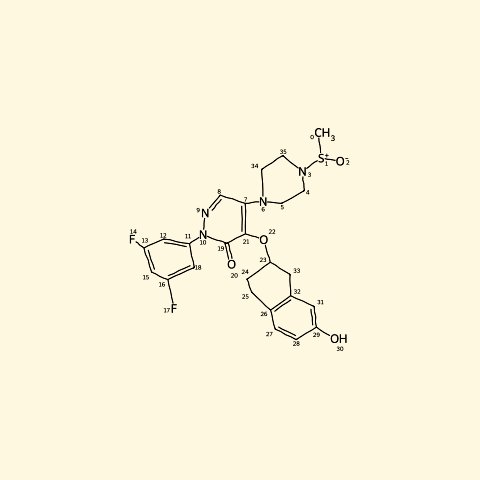 C[S+]([O-])N1CCN(c2cnn(-c3cc(F)cc(F)c3)c(=O)c2OC2CCc3ccc(O)cc3C2)CC1